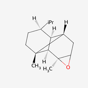 CC(C)[C@@H]1CC[C@@]2(C)[C@H]3[C@@H]1[C@@H]2CC1O[C@]13C